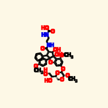 COc1ccc(C23Oc4cc(O[C@@H]5O[C@@H]([C@H](O)CO)CO[C@H]5OC)cc(OC)c4C2(O)C(O)C(C(=O)NCCNC(=O)O)C3c2ccccc2)cc1